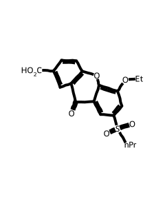 CCCS(=O)(=O)c1cc(OCC)c2oc3ccc(C(=O)O)cc3c(=O)c2c1